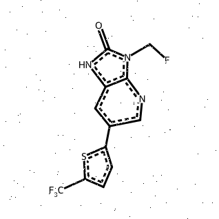 O=c1[nH]c2cc(-c3ccc(C(F)(F)F)s3)cnc2n1CF